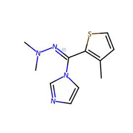 Cc1ccsc1/C(=N/N(C)C)n1ccnc1